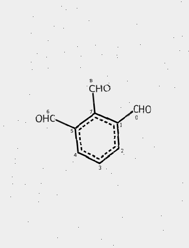 O=Cc1cccc(C=O)c1C=O